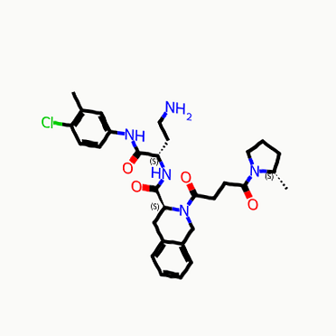 Cc1cc(NC(=O)[C@H](CCN)NC(=O)[C@@H]2Cc3ccccc3CN2C(=O)CCC(=O)N2CCC[C@@H]2C)ccc1Cl